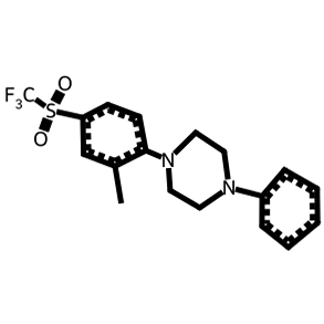 Cc1cc(S(=O)(=O)C(F)(F)F)ccc1N1CCN(c2ccccc2)CC1